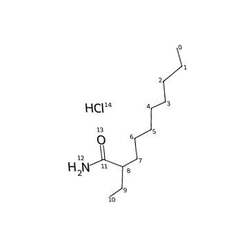 CCCCCCCCC(CC)C(N)=O.Cl